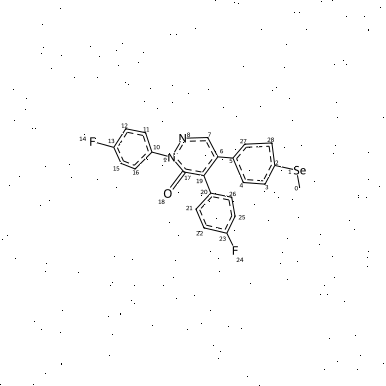 C[Se]c1ccc(-c2cnn(-c3ccc(F)cc3)c(=O)c2-c2ccc(F)cc2)cc1